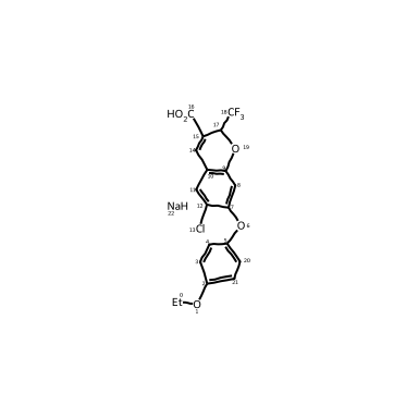 CCOc1ccc(Oc2cc3c(cc2Cl)C=C(C(=O)O)C(C(F)(F)F)O3)cc1.[NaH]